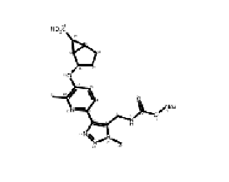 CCCCOC(=O)NCc1c(-c2ccc(O[C@@H]3CCC4C(C(=O)O)C43)c(C)n2)nnn1C